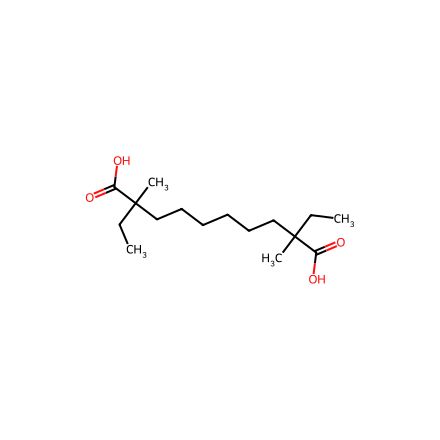 CCC(C)(CCCCCCC(C)(CC)C(=O)O)C(=O)O